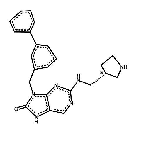 O=c1[nH]c2cnc(NC[C@@H]3CCNC3)nc2n1Cc1cccc(-c2ccccc2)c1